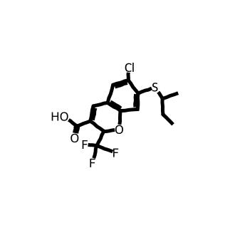 CCC(C)Sc1cc2c(cc1Cl)C=C(C(=O)O)C(C(F)(F)F)O2